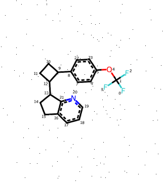 FC(F)(F)Oc1ccc([C]2CCC2C2CCc3cccnc32)cc1